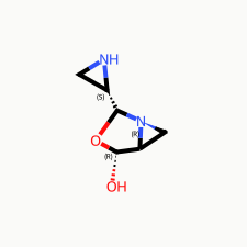 O[C@@H]1OC([C@@H]2CN2)[N@@]2CC12